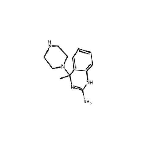 CC1(N2CCNCC2)N=C(N)Nc2ccccc21